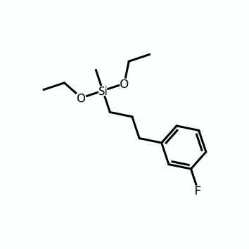 CCO[Si](C)(CCCc1cccc(F)c1)OCC